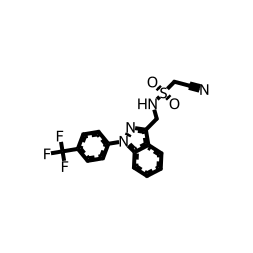 N#CCS(=O)(=O)NCc1nn(-c2ccc(C(F)(F)F)cc2)c2ccccc12